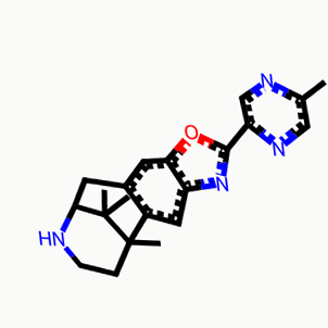 Cc1cnc(-c2nc3cc4c(cc3o2)CC2NCCC4(C)C2(C)C)cn1